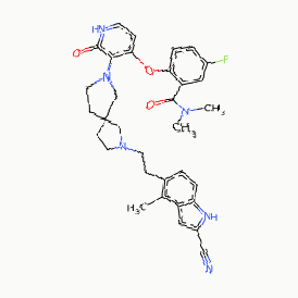 Cc1c(CCN2CCC3(CCN(c4c(Oc5ccc(F)cc5C(=O)N(C)C)cc[nH]c4=O)C3)C2)ccc2[nH]c(C#N)cc12